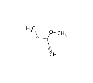 C#CC([CH]C)OC